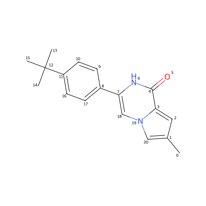 Cc1cc2c(=O)[nH]c(-c3ccc(C(C)(C)C)cc3)cn2c1